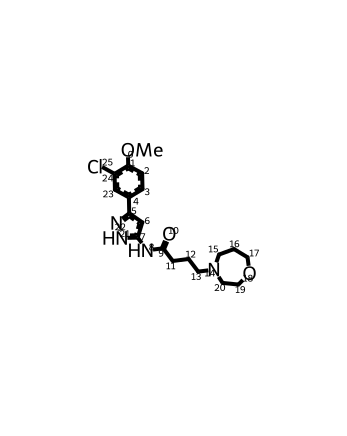 COc1ccc(-c2cc(NC(=O)CCCN3CCCOCC3)[nH]n2)cc1Cl